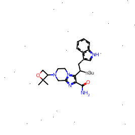 CCCCC(Cc1c[nH]c2ccccc12)c1c(C(N)=O)nc2n1CCN(C1COC1(C)C)C2